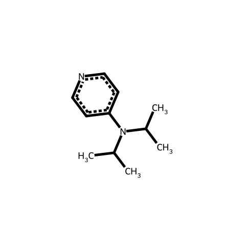 CC(C)N(c1ccncc1)C(C)C